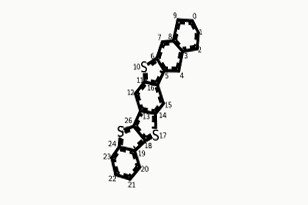 c1ccc2cc3c(cc2c1)sc1cc2c(cc13)sc1c3ccccc3sc21